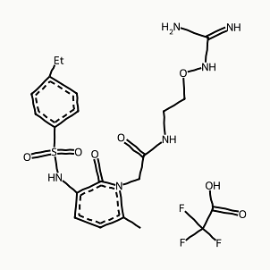 CCc1ccc(S(=O)(=O)Nc2ccc(C)n(CC(=O)NCCONC(=N)N)c2=O)cc1.O=C(O)C(F)(F)F